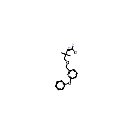 CC(C)(/C=C(/F)Cl)COCc1cccc(Oc2ccccc2)n1